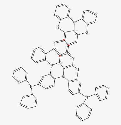 c1ccc(-c2ccccc2N2c3cc(N(c4ccccc4)c4ccccc4)ccc3B3c4ccc(N(c5ccccc5)c5ccccc5)cc4Sc4cc(-c5cc6c7c(c5)Oc5ccccc5B7c5ccccc5O6)cc2c43)cc1